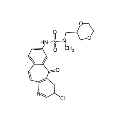 CN(CC1COCCO1)S(=O)(=O)Nc1ccc2ccc3ncc(Cl)cc3c(=O)c2c1